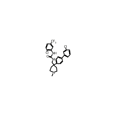 CN1CCC(CNC(=O)Nc2cc(C(F)(F)F)ccc2Cl)(c2ccc(-c3cccc(Cl)c3)cc2)CC1